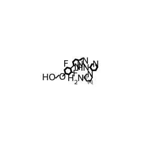 C[C@@H]1C[C@H](N)CN(c2ccncc2Nc2ncc3ccc(-c4c(F)cc(OCCO)cc4F)nn23)C1